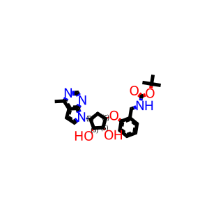 Cc1ncnc2c1ccn2[C@@H]1C[C@H](Oc2ccccc2CNC(=O)OC(C)(C)C)[C@@H](O)[C@H]1O